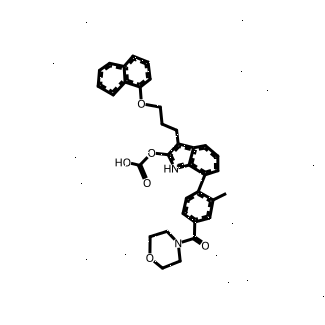 Cc1cc(C(=O)N2CCOCC2)ccc1-c1cccc2c(CCCOc3cccc4ccccc34)c(OC(=O)O)[nH]c12